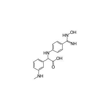 CNc1cccc(C(Nc2ccc(C(=N)NO)cc2)C(=O)O)c1